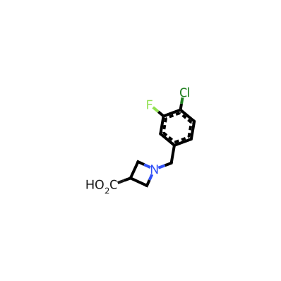 O=C(O)C1CN(Cc2ccc(Cl)c(F)c2)C1